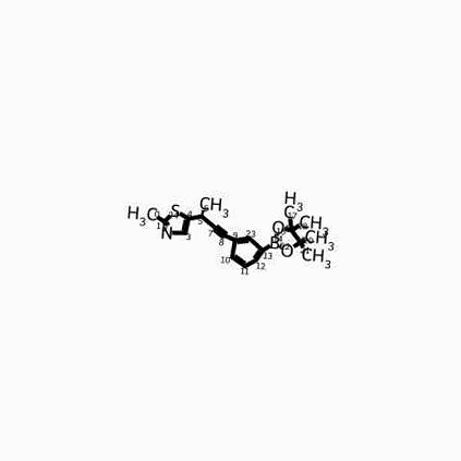 Cc1ncc([C@@H](C)C#Cc2cccc(B3OC(C)(C)C(C)(C)O3)c2)s1